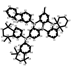 Cc1cc2c3c(c1)N1c4c(cccc4C4(C)CCCCC14C)B3c1ccc(N(c3ccc4c(c3)C(C)(C)CCC4(C)C)c3ccc4c(c3)C(C)(C)CCC4(C)C)cc1N2c1ccc2c(c1)sc1ccccc12